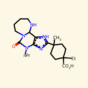 CCCN1C(=O)N2CCCCNC2c2[nH]c(C3(C)CCC(CC)(C(=O)O)CC3)nc21